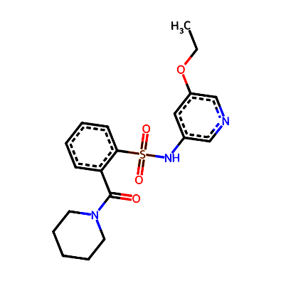 CCOc1cncc(NS(=O)(=O)c2ccccc2C(=O)N2CCCCC2)c1